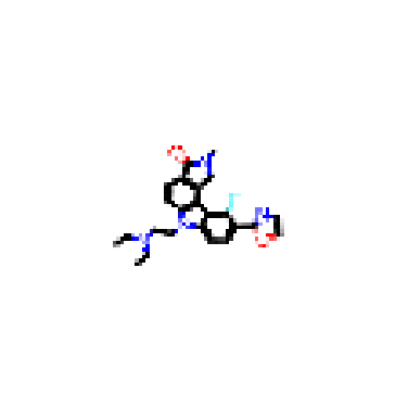 CCN(CC)CCn1c2ccc(-c3ncco3)c(F)c2c2c3c(ccc21)C(=O)N(C)C3